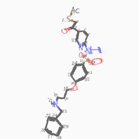 CC(=O)SCC(=O)c1ccc(NS(=O)(=O)c2ccc(OCCCN(C)Cc3ccccc3)cc2)nc1